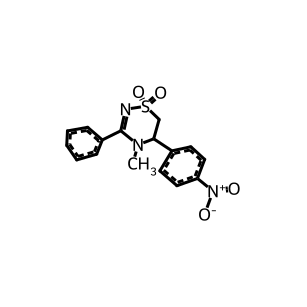 CN1C(c2ccccc2)=NS(=O)(=O)CC1c1ccc([N+](=O)[O-])cc1